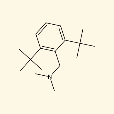 CN(C)Cc1c(C(C)(C)C)cccc1C(C)(C)C